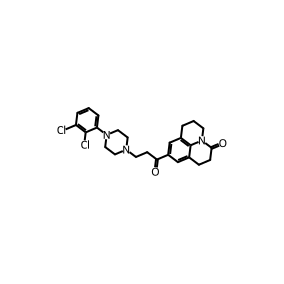 O=C(CCN1CCN(c2cccc(Cl)c2Cl)CC1)c1cc2c3c(c1)CCC(=O)N3CCC2